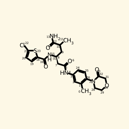 Cc1cc(NC(=O)C[C@H](CC(C)C(N)=O)NC(=O)c2ccc(Cl)s2)ccc1N1CCOCC1=O